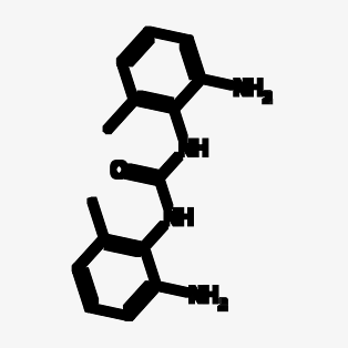 Cc1cccc(N)c1NC(=O)Nc1c(C)cccc1N